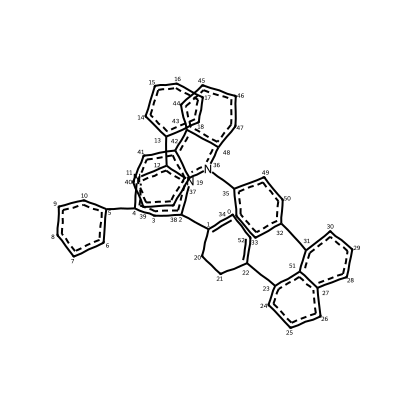 C1=C(c2cc(-c3ccccc3)nc(-c3ccccc3)n2)CCC(c2cccc3cccc(-c4ccc(-n5c6ccccc6c6ccccc65)cc4)c23)=C1